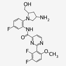 COc1ccc(F)c(F)c1-c1nccc(C(=O)Nc2cc(F)ccc2N2CC(N)CC2CO)n1